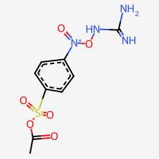 CC(=O)OS(=O)(=O)c1ccc([N+](=O)ONC(=N)N)cc1